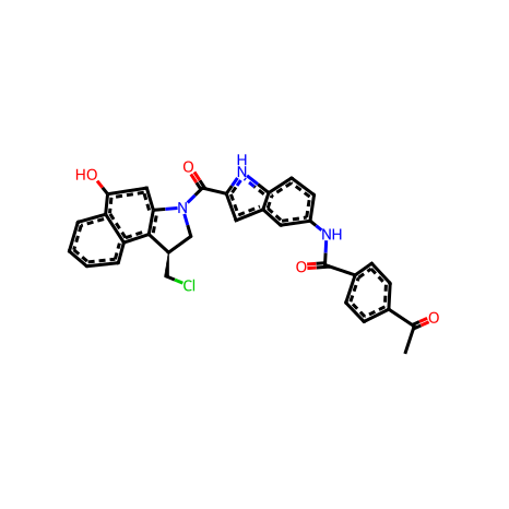 CC(=O)c1ccc(C(=O)Nc2ccc3[nH]c(C(=O)N4C[C@@H](CCl)c5c4cc(O)c4ccccc54)cc3c2)cc1